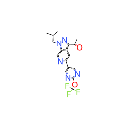 CC(=O)c1nn(C=C(C)C)c2cnc(-c3cnc(OC(F)(F)F)nc3)cc12